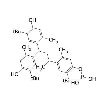 Cc1cc(OP(O)O)c(C(C)(C)C)cc1C(C)CC(c1cc(C(C)(C)C)c(O)cc1C)c1cc(C(C)(C)C)c(O)cc1C